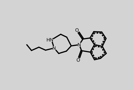 CCCCN1CCC(N2C(=O)c3cccc4cccc(c34)C2=O)CCN1